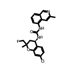 Cc1cc2c(NC(=O)N[C@@H]3CC(C)(CF)Oc4cc(Cl)ccc43)cccc2cn1